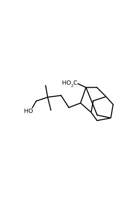 CC(C)(CO)CCC1C2CC3CC(C2)CC1(C(=O)O)C3